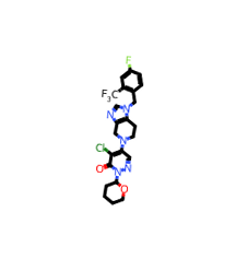 O=c1c(Cl)c(N2CCc3c(ncn3Cc3ccc(F)cc3C(F)(F)F)C2)cnn1C1CCCCO1